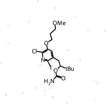 COCCCOc1cc(CC(OC(N)=O)C(C)(C)C)c(I)nc1Cl